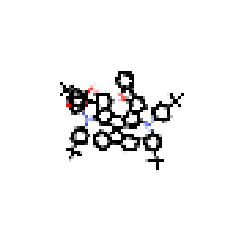 CC(C)(C)c1ccc(N(c2ccc(C(C)(C)C)cc2)c2cc3c(c4c2ccc2c5ccccc5oc24)-c2c(cc(N(c4ccc(C(C)(C)C)cc4)c4ccc(C(C)(C)C)cc4)c4c2ccc2oc5ccccc5c24)C32c3ccccc3-c3ccccc32)cc1